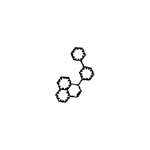 C1=CC(c2cccc(-c3ccccc3)c2)c2cccc3cccc1c23